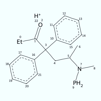 CCC(=O)C(CC(C)N(C)P)(c1ccccc1)c1ccccc1.[H+]